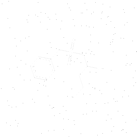 CC(CCCl)NS(=O)(=O)Cc1ccccc1